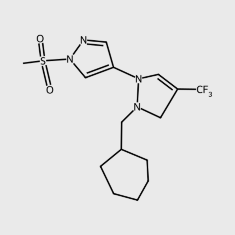 CS(=O)(=O)n1cc(N2C=C(C(F)(F)F)CN2CC2CCCCC2)cn1